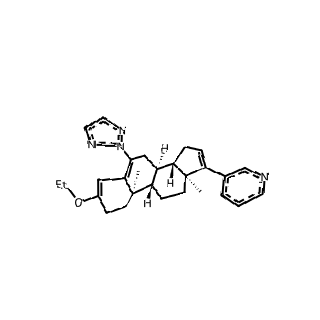 CCOC1=CC2=C(n3nccn3)C[C@@H]3[C@H](CC[C@]4(C)C(c5cccnc5)=CC[C@@H]34)[C@@]2(C)CC1